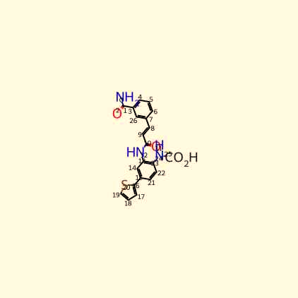 NC(=O)c1cccc(C=CC(=O)Nc2cc(-c3cccs3)ccc2NC(=O)O)c1